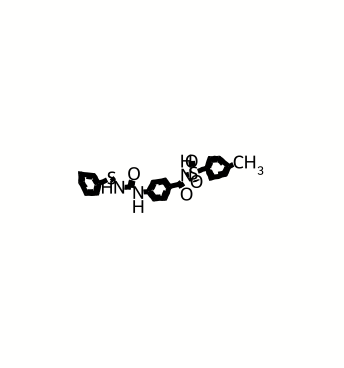 Cc1ccc(S(=O)(=O)NC(=O)c2ccc(NC(=O)NSc3ccccc3)cc2)cc1